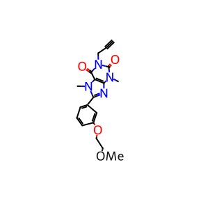 C#CCn1c(=O)c2c(nc(-c3cccc(OCCOC)c3)n2C)n(C)c1=O